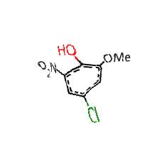 COc1cc(Cl)cc([N+](=O)[O-])c1O